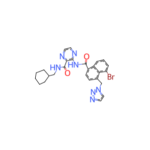 O=C(NCC1CCCCC1)c1nccnc1NC(=O)c1ccc(Cn2ccnn2)c2c(Br)cccc12